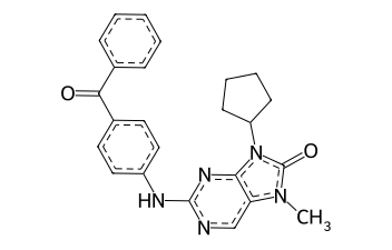 Cn1c(=O)n(C2CCCC2)c2nc(Nc3ccc(C(=O)c4ccccc4)cc3)ncc21